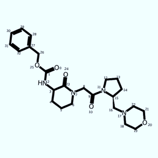 O=C(NC1CCCN(CC(=O)N2CCC[C@H]2CN2CCOCC2)C1=O)OCc1ccccc1